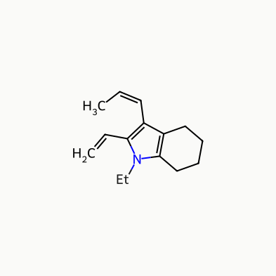 C=Cc1c(/C=C\C)c2c(n1CC)CCCC2